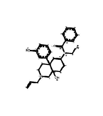 C=CCN1CCC2(c3cccc(O)c3)CC(N(CC(C)C)C(=O)c3ccccc3)CCC2(O)C1